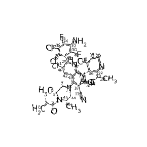 C=CC(=O)N1[C@H](C)CN(c2c(C#N)c(=O)n(-c3c(C)ccnc3C(C)C)c3nc(-c4c(F)c(N)c(F)c(Cl)c4Cl)c(Cl)cc23)C[C@@H]1C